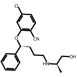 C[C@H](CO)NCCC[C@@H](Oc1cc(Cl)ccc1C#N)c1ccccc1